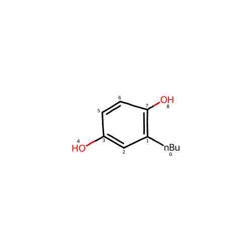 CCCCc1cc(O)ccc1O